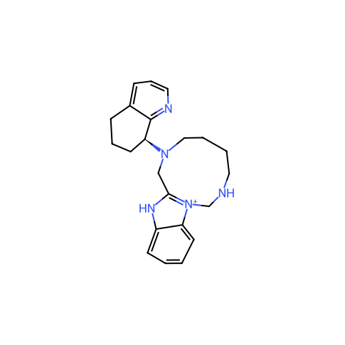 c1cnc2c(c1)CCC[C@@H]2N1CCCCNC[n+]2c([nH]c3ccccc32)C1